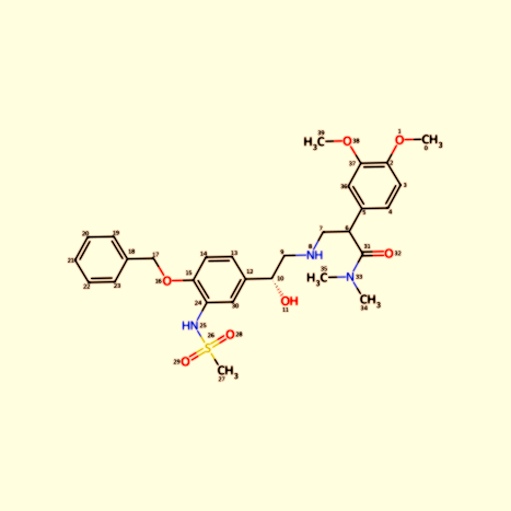 COc1ccc(C(CNC[C@H](O)c2ccc(OCc3ccccc3)c(NS(C)(=O)=O)c2)C(=O)N(C)C)cc1OC